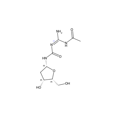 CC(=O)N/C(N)=N\C(=O)N[C@H]1C[C@@H](O)[C@@H](CO)O1